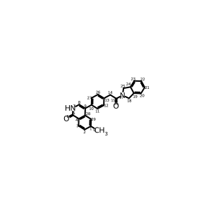 Cc1ccc2c(=O)[nH]cc(-c3ccc(CC(=O)N4Cc5ccccc5C4)cc3)c2c1